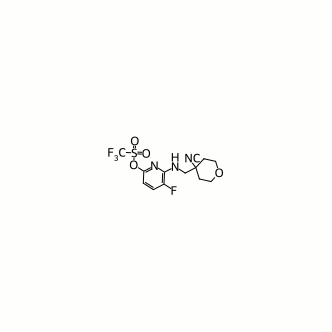 N#CC1(CNc2nc(OS(=O)(=O)C(F)(F)F)ccc2F)CCOCC1